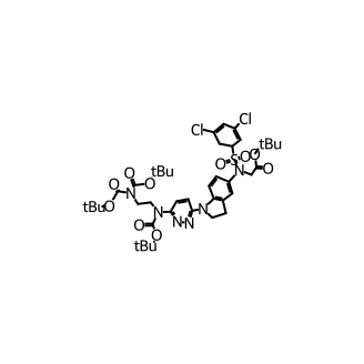 CC(C)(C)OC(=O)CN(c1ccc2c(c1)CCN2c1ccc(N(CCN(C(=O)OC(C)(C)C)C(=O)OC(C)(C)C)C(=O)OC(C)(C)C)nn1)S(=O)(=O)C1C=C(Cl)C=C(Cl)C1